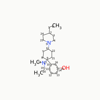 CCC1CCN(C2CCC(c3cccc(O)c3)(N(C)CC)CC2)CC1